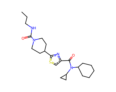 CCCNC(=O)N1CCC(c2nc(C(=O)N(C3CCCCC3)C3CC3)cs2)CC1